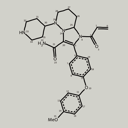 C=CC(=O)N1C(c2ccc(Oc3ccc(OC)cc3)cc2)=C(C(N)=O)N2C1CCCN2C1CCNCC1